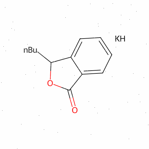 CCCCC1OC(=O)c2ccccc21.[KH]